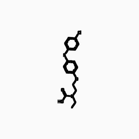 CCN(CCOc1ccc(Sc2ccc(Cl)cc2)cc1)C(=O)O